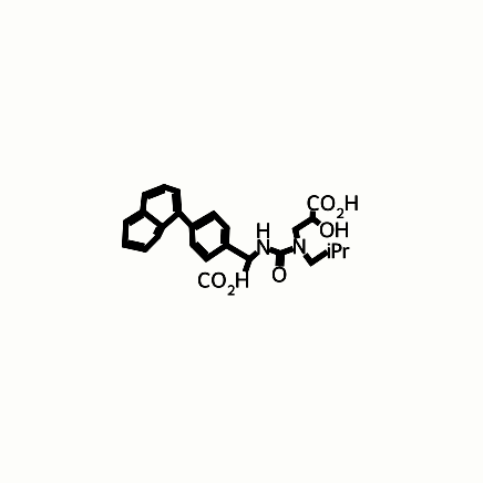 CC(C)CN(CC(O)C(=O)O)C(=O)NC(C(=O)O)c1ccc(-c2cccc3ccccc23)cc1